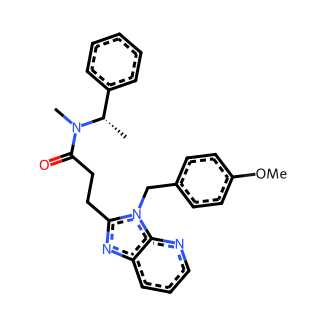 COc1ccc(Cn2c(CCC(=O)N(C)[C@@H](C)c3ccccc3)nc3cccnc32)cc1